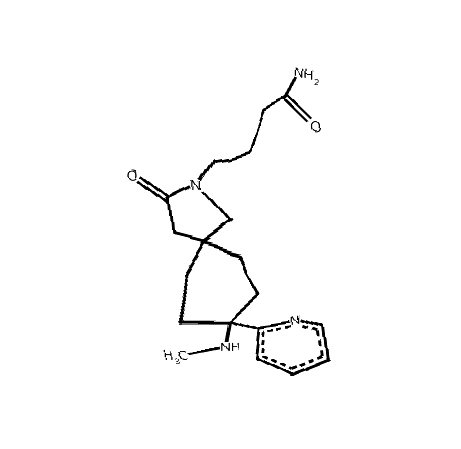 CNC1(c2ccccn2)CCC2(CC1)CC(=O)N(CCCC(N)=O)C2